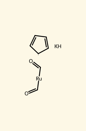 O=[CH][Ru][CH]=O.[CH]1C=CC=C1.[KH]